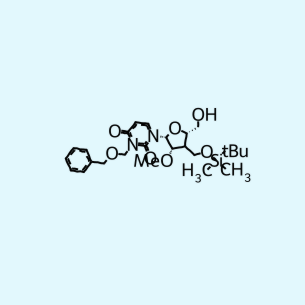 CO[C@H]1C(CO[Si](C)(C)C(C)(C)C)[C@@H](CO)O[C@H]1n1ccc(=O)n(COCc2ccccc2)c1=O